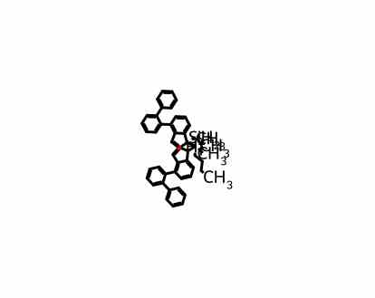 CCC[CH2][Hf]([CH3])([CH3])([CH3])(=[SiH2])([CH]1C=Cc2c(-c3ccccc3-c3ccccc3)cccc21)[CH]1C=Cc2c(-c3ccccc3-c3ccccc3)cccc21